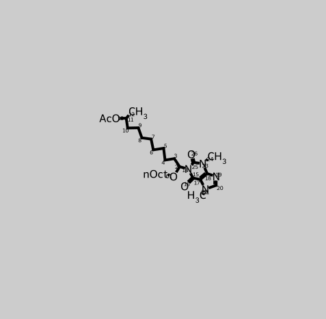 CCCCCCCCOC(CCCCCCCCC(C)OC(C)=O)n1c(=O)c2c(ncn2C)n(C)c1=O